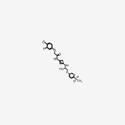 CS(=O)(=O)c1ccc(OCC(O)NC23CC(NC(=O)COc4ccc(Cl)c(F)c4)(C2)C3)cn1